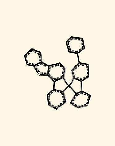 c1ccc(-c2ccc3c(c2)C2(c4ccccc4-3)c3ccccc3-c3c2ccc2c3sc3ccccc32)cc1